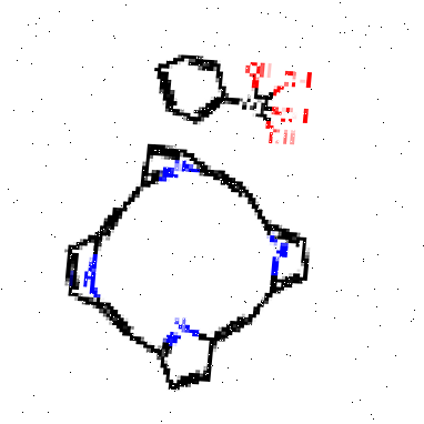 C1=Cc2cc3ccc(cc4nc(cc5ccc(cc1n2)[nH]5)C=C4)[nH]3.[OH][Ag]([OH])([OH])([OH])[c]1ccccc1